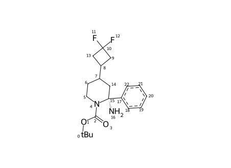 CC(C)(C)OC(=O)N1CCC(C2CC(F)(F)C2)C[C@@]1(N)c1ccccc1